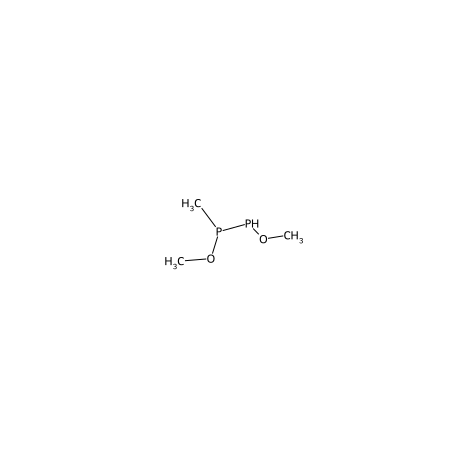 COPP(C)OC